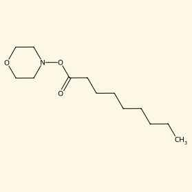 CCCCCCCCC(=O)ON1CCOCC1